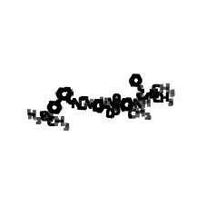 Cc1cc(S(=O)(=O)NC(=O)c2ccc(N3CCN(Cc4ccccc4-c4ccc(N(C)C)cc4)CC3)cc2)ccc1N[C@H](CCN(C)C)CSc1ccccc1